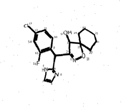 OC1C(C(c2ncc[nH]2)c2ccc(Cl)cc2F)=NOC12CCCCC2